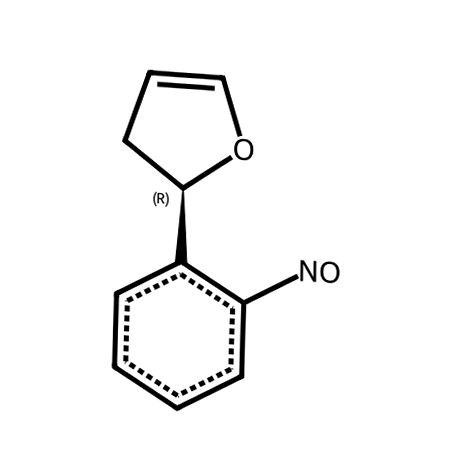 O=Nc1ccccc1[C@H]1CC=CO1